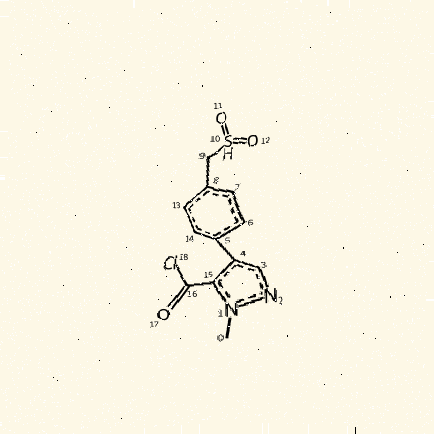 Cn1ncc(-c2ccc(C[SH](=O)=O)cc2)c1C(=O)Cl